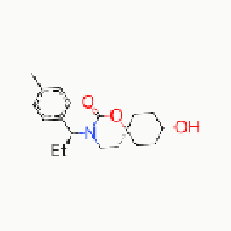 CC[C@@H](c1ccc(C)cc1)N1CC[C@]2(CC[C@@H](O)CC2)OC1=O